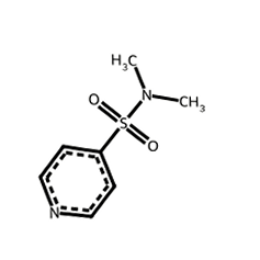 CN(C)S(=O)(=O)c1ccncc1